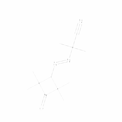 CC(C)(C#N)N=NC1C(C)(C)C(=O)C1(C)C